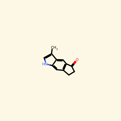 Cc1c[nH]c2cc3c(cc12)C(=O)CC3